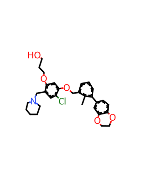 Cc1c(COc2cc(OCCCO)c(CN3CCCCC3)cc2Cl)cccc1-c1ccc2c(c1)OCCO2